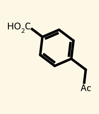 CC(=O)Cc1ccc(C(=O)O)cc1